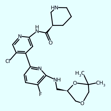 CC1(C)COC[C@@H](CNc2nc(-c3cc(NC(=O)[C@@H]4CCCNC4)ncc3Cl)ccc2F)O1